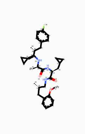 CCCOc1ccccc1C[C@H](C)CNC(=O)[C@H](CC1CC1)NC(=O)[C@H](NC(=C1CC1)[C@H](C)Cc1ccc(F)cc1)C(C)C